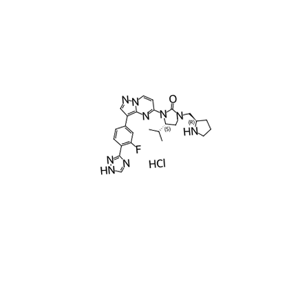 CC(C)[C@H]1CN(C[C@H]2CCCN2)C(=O)N1c1ccn2ncc(-c3ccc(-c4nc[nH]n4)c(F)c3)c2n1.Cl